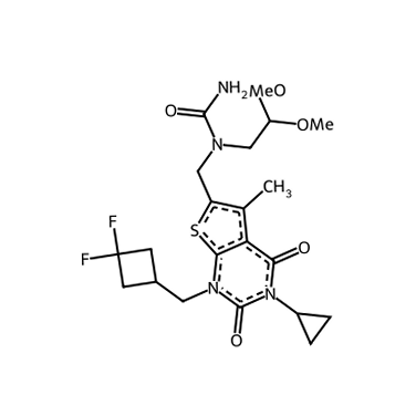 COC(CN(Cc1sc2c(c1C)c(=O)n(C1CC1)c(=O)n2CC1CC(F)(F)C1)C(N)=O)OC